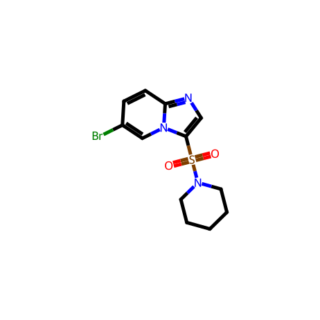 O=S(=O)(c1cnc2ccc(Br)cn12)N1CCCCC1